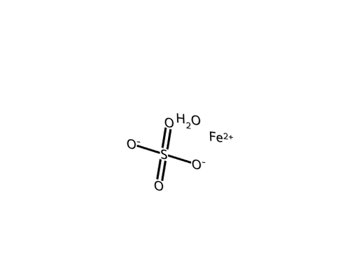 O.O=S(=O)([O-])[O-].[Fe+2]